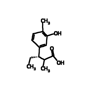 CC[C@H](c1ccc(C)c(O)c1)C(C)C(=O)O